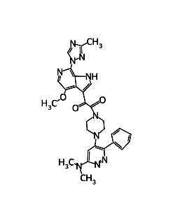 COc1cnc(-n2cnc(C)n2)c2[nH]cc(C(=O)C(=O)N3CCN(c4cc(N(C)C)nnc4-c4ccccc4)CC3)c12